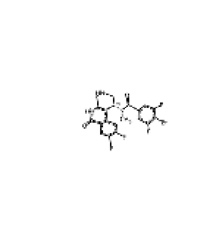 CN(C(=O)c1cc(F)c(Br)c(F)c1)[C@H]1CNCc2[nH]c(=O)c3cc(F)c(F)cc3c21